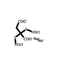 CCCCCCCCSC(CC(=O)[O-])(SCCCCCCCC)C(=O)[O-].[Na+].[Na+]